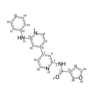 O=C(Nc1cc(-c2ccnc(Nc3ccccc3)c2)ccn1)c1ccoc1